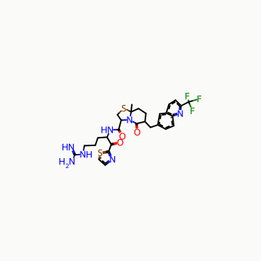 CC12CCC(Cc3ccc4nc(C(F)(F)F)ccc4c3)C(=O)N1C(C(=O)NC(CCCNC(=N)N)C(=O)c1nccs1)CS2